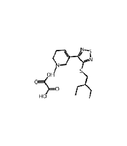 CCC(CC)CSc1nsnc1C1=CCCN(C)C1.O=C(O)C(=O)O